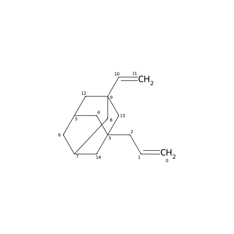 C=CCC12CC3CC(CC(C=C)(C3)C1)C2